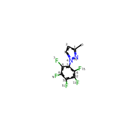 [CH2]c1ccn(-c2c(F)c(F)c(F)c(F)c2F)n1